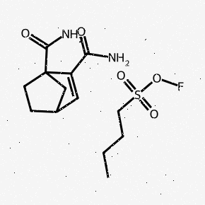 CCCCS(=O)(=O)OF.NC(=O)C1=CC2CCC1(C(N)=O)C2